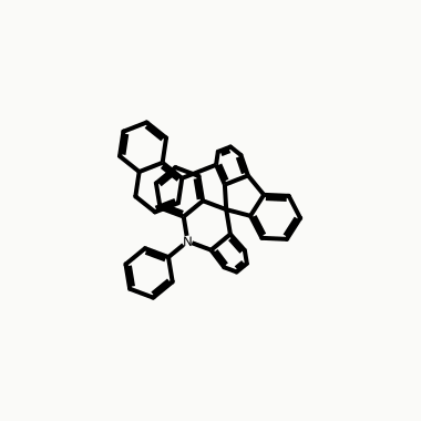 C1=CC2=C(c3cccc4c3C3(c5ccccc5-4)c4ccccc4N(c4ccccc4)c4ccccc43)C=CCC2C=C1